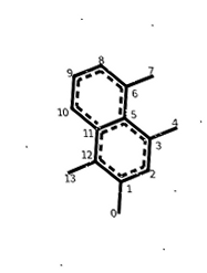 Cc1cc(C)c2c(C)cccc2c1C